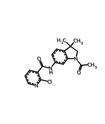 CC(=O)N1CC(C)(C)c2ccc(NC(=O)c3cccnc3Cl)cc21